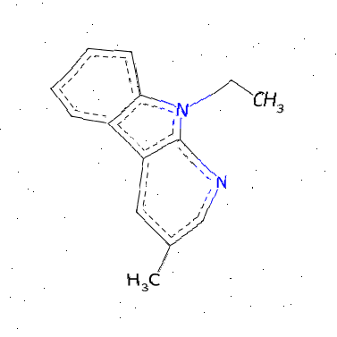 CCn1c2ccccc2c2cc(C)cnc21